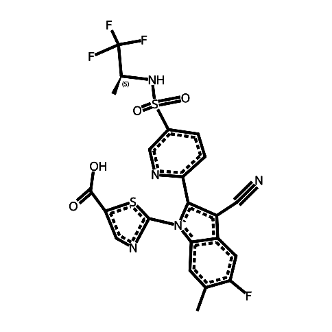 Cc1cc2c(cc1F)c(C#N)c(-c1ccc(S(=O)(=O)N[C@@H](C)C(F)(F)F)cn1)n2-c1ncc(C(=O)O)s1